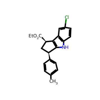 CCOC(=O)[C@@H]1C[C@H](c2ccc(C)cc2)c2[nH]c3ccc(Cl)cc3c21